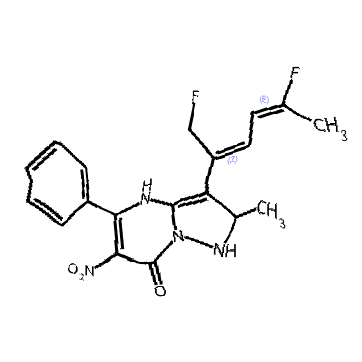 C/C(F)=C\C=C(/CF)C1=C2NC(c3ccccc3)=C([N+](=O)[O-])C(=O)N2NC1C